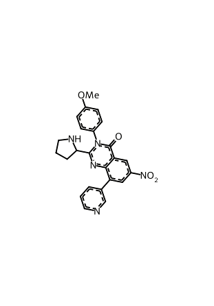 COc1ccc(-n2c(C3CCCN3)nc3c(-c4cccnc4)cc([N+](=O)[O-])cc3c2=O)cc1